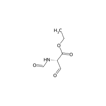 CCOC(=O)[C@H](C=O)NC=O